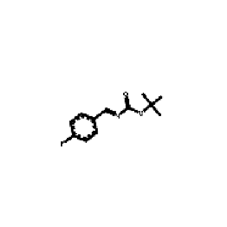 CC(C)(C)OC(=O)/N=C/c1ccc(F)cc1